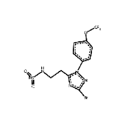 O=[SH](=O)NCCc1nc(Br)nn1-c1ccc(OC(F)(F)F)cc1